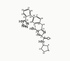 CCCCn1nc(C(=O)NC2CCCC2)nc1Cc1ccc(-c2ccccc2-c2nnn[nH]2)cc1